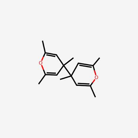 CC1=CC(C)(C2(C)C=C(C)OC(C)=C2)C=C(C)O1